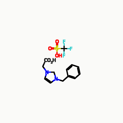 O=C(O)CN1C=CN(Cc2ccccc2)C1.O=S(=O)(O)C(F)(F)F